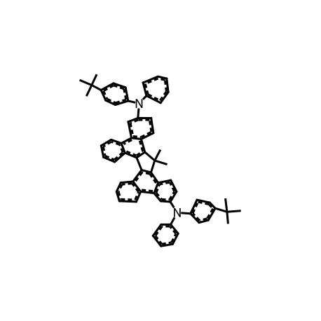 CC(C)(C)c1ccc(N(c2ccccc2)c2ccc3c4c(c5ccccc5c3c2)-c2c(c3ccc(N(c5ccccc5)c5ccc(C(C)(C)C)cc5)cc3c3ccccc23)C4(C)C)cc1